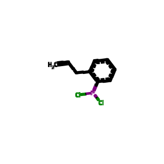 C=CCc1ccccc1P(Cl)Cl